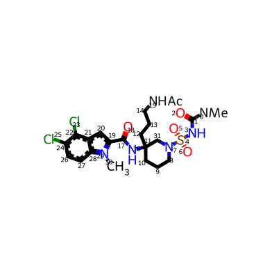 CNC(=O)NS(=O)(=O)N1CCCC(CCCNC(C)=O)(NC(=O)c2cc3c(Cl)c(Cl)ccc3n2C)C1